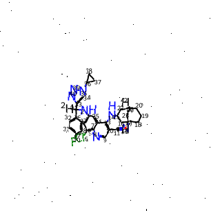 [2H]C(Nc1cc(Cl)c2ncc(C#N)c(NC3C[C@H]4CCC[C@@H](C3)C4)c2c1)(c1ccc(F)cc1)c1cn(C2CC2)nn1